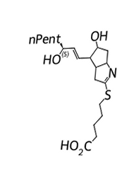 CCCCC[C@H](O)C=CC1C(O)CC2N=C(SCCCCC(=O)O)CC21